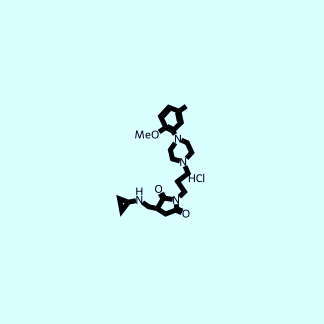 COc1ccc(C)cc1N1CCN(CCCN2C(=O)CC(CNC3CC3)C2=O)CC1.Cl